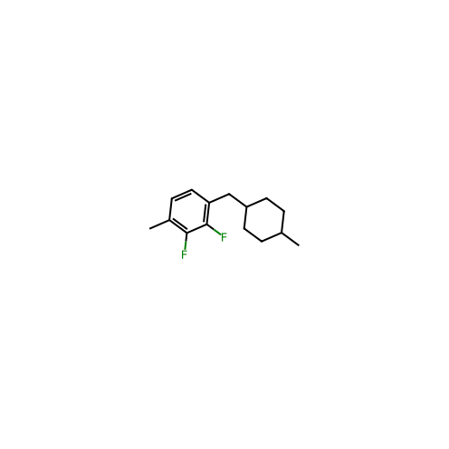 Cc1ccc(CC2CCC(C)CC2)c(F)c1F